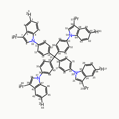 [2H]c1ccc2c(c1)c(C(C)C)cn2-c1ccc(C(c2ccc(-n3cc(C(C)C)c4cc([2H])ccc43)cc2)(c2ccc(-n3cc(C(C)C)c4cc([2H])ccc43)cc2)c2ccc(-n3cc(C(C)C)c4cc([2H])ccc43)cc2)cc1